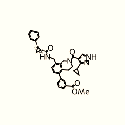 COC(=O)c1cccc(-c2ccc(CNC(=O)[C@H]3C[C@H]3c3ccccc3)c3c2CCN(C(=O)c2c[nH]nc2C2CC2)C3)c1